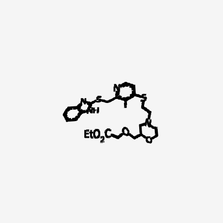 CCOC(=O)COCC1CN(CCSc2ccnc(CSc3nc4ccccc4[nH]3)c2C)CCO1